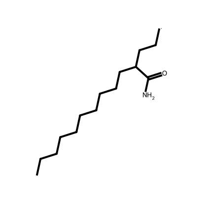 [CH2]CCC(CCCCCCCCCC)C(N)=O